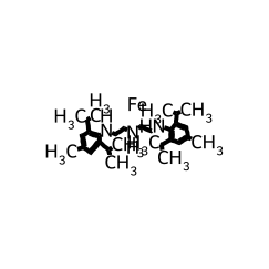 Cc1cc(C(C)C)c(NCCNCCNc2c(C(C)C)cc(C)cc2C(C)C)c(C(C)C)c1.[Fe]